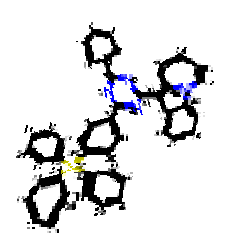 c1ccc(-c2nc(-c3ccc(S(c4ccccc4)(c4ccccc4)c4ccccc4)cc3)nc(-c3c4ccccc4n4ccccc34)n2)cc1